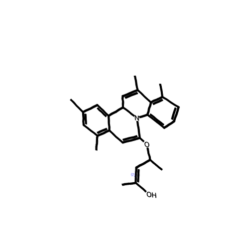 CC1=CC2c3cc(C)cc(C)c3C=C(OC(C)/C=C(/C)O)N2c2cccc(C)c21